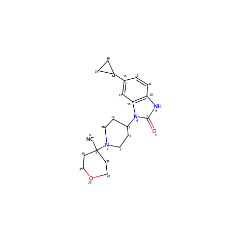 N#CC1(N2CCC(n3c(=O)[nH]c4ccc(C5CC5)cc43)CC2)CCOCC1